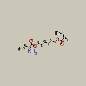 CC(C)CC(C)C(=O)OCCCCCCOC(=O)C(N)CC(C)C